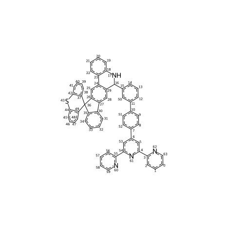 c1ccc(-c2cc(-c3ccc(-c4cccc(C5Nc6ccccc6-c6cc7c(cc65)-c5ccccc5C75c6ccccc6Sc6ccccc65)c4)cc3)cc(-c3ccccn3)n2)nc1